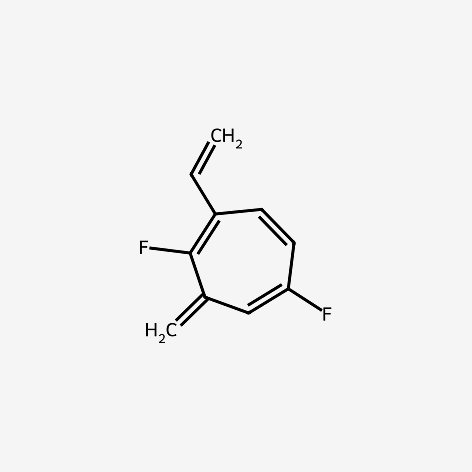 C=CC1=C(F)C(=C)C=C(F)C=C1